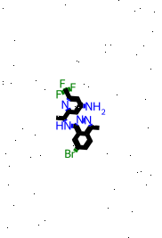 Cc1nnc(NC(C)c2cc(N)cc(C(F)(F)F)n2)c2cc(Br)ccc12